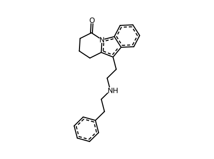 O=C1CCCc2c(CCNCCc3ccccc3)c3ccccc3n21